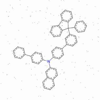 c1ccc(-c2ccc(N(c3ccc(-c4cccc(C5(c6ccccc6)c6ccccc6-c6ccccc65)c4)cc3)c3ccc4ccccc4c3)cc2)cc1